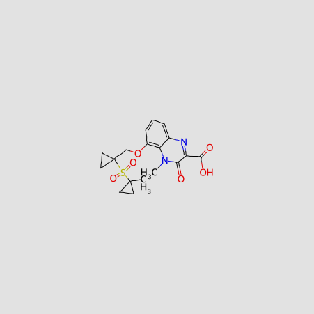 Cn1c(=O)c(C(=O)O)nc2cccc(OCC3(S(=O)(=O)C4(C)CC4)CC3)c21